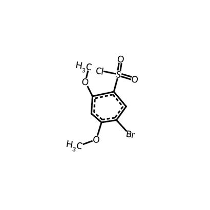 COc1cc(OC)c(S(=O)(=O)Cl)cc1Br